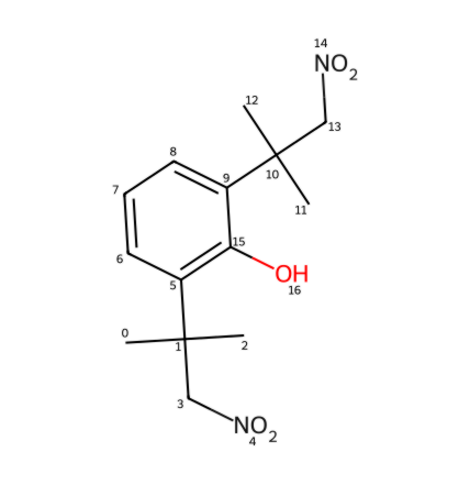 CC(C)(C[N+](=O)[O-])c1cccc(C(C)(C)C[N+](=O)[O-])c1O